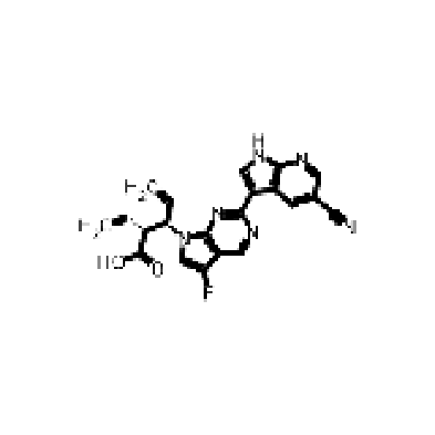 C=C[C@H]([C@@H](C=C)C(=O)O)n1cc(F)c2cnc(-c3c[nH]c4ncc(C#N)cc34)nc21